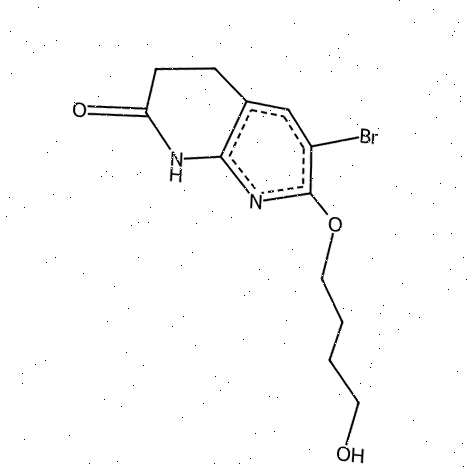 O=C1CCc2cc(Br)c(OCCCCO)nc2N1